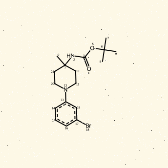 CC1(NC(=O)OC(C)(C)C)CCN(c2cccc(Br)c2)CC1